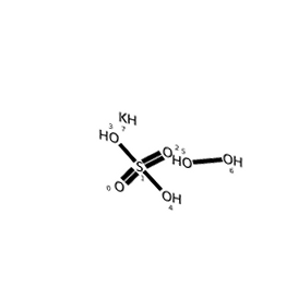 O=S(=O)(O)O.OO.[KH]